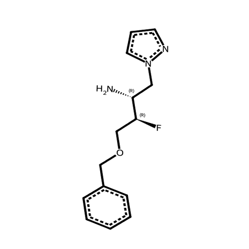 N[C@H](Cn1cccn1)[C@@H](F)COCc1ccccc1